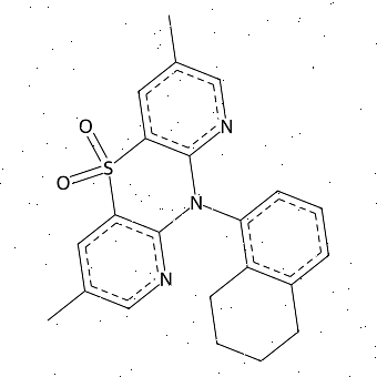 Cc1cnc2c(c1)S(=O)(=O)c1cc(C)cnc1N2c1cccc2c1CCCC2